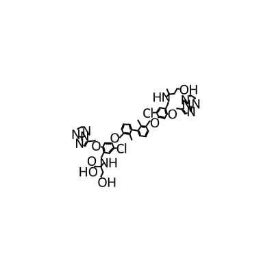 Cc1c(COc2cc(OCc3cnc4nccnn34)c(CNC(C)CCO)cc2Cl)cccc1-c1cccc(COc2cc(OCc3cnc4nccnn34)c(CNC(CCO)C(=O)O)cc2Cl)c1C